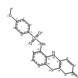 COc1ccc(S(=O)(=O)Nc2cccc3c2NC2=C(CC(=O)C=C2)S3)cc1